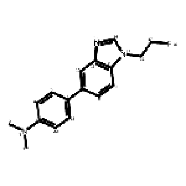 CN(C)c1ccc(-c2ccc3c(c2)ncn3CCF)cc1